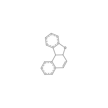 C1=CC2Oc3ccccc3C2c2ccccc21